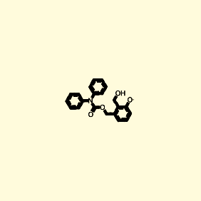 [O]c1cccc(COC(=O)N(c2ccccc2)c2ccccc2)c1CO